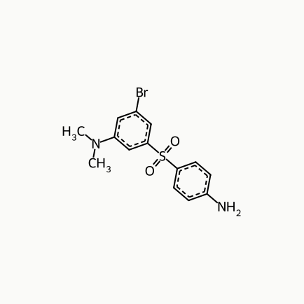 CN(C)c1cc(Br)cc(S(=O)(=O)c2ccc(N)cc2)c1